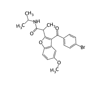 COc1ccc2oc(C(C)C(=O)NC(C)C)c(C(=O)c3ccc(Br)cc3)c2c1